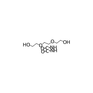 N=C=O.N=C=O.OCCOCCOCCO